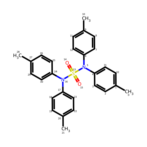 Cc1ccc(N(c2ccc(C)cc2)S(=O)(=O)N(c2ccc(C)cc2)c2ccc(C)cc2)cc1